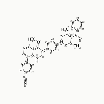 COC1=C2C=CC=C(c3ccc(C#N)cc3)C2NC=C1c1ccc(N2CC(C)N(C(=O)c3ccccn3)C(C)C2)cc1